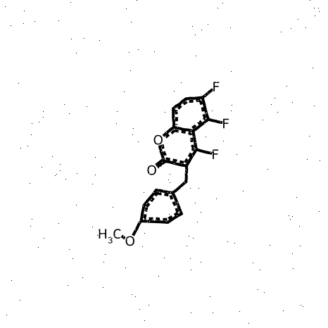 COc1ccc(Cc2c(F)c3c(F)c(F)ccc3oc2=O)cc1